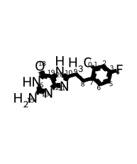 Cc1cc(F)ccc1CCc1nc2nc(N)[nH]c(=O)c2[nH]1